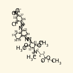 CCOC(=O)CCCN(CC)c1cc(OC)c(N=Nc2ccc(N=Nc3ccc([N+](=O)[O-])cc3Cl)c3ccccc23)cc1OC